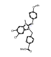 CCCOc1ccc(/N=c2\n(C)c3cc(Cl)c(Cl)cc3n2Cc2ccc(C(=O)OC)cc2)cc1